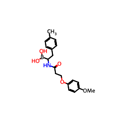 COc1ccc(OCCC(=O)NC(Cc2ccc(C)cc2)B(O)O)cc1